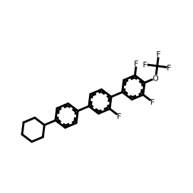 Fc1cc(-c2ccc(C3CCCCC3)cc2)ccc1-c1cc(F)c(OC(F)(F)F)c(F)c1